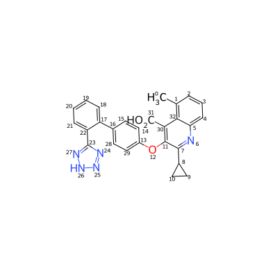 Cc1cccc2nc(C3CC3)c(Oc3ccc(-c4ccccc4-c4nn[nH]n4)cc3)c(C(=O)O)c12